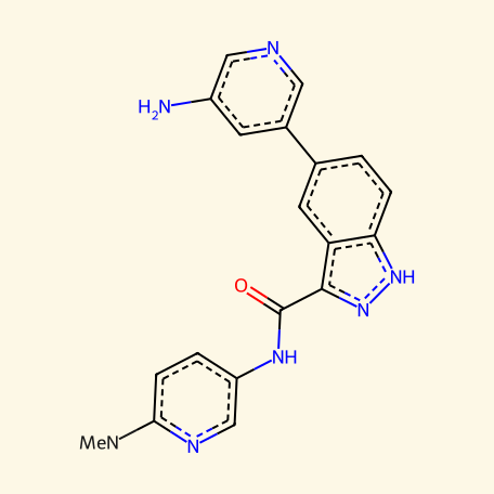 CNc1ccc(NC(=O)c2n[nH]c3ccc(-c4cncc(N)c4)cc23)cn1